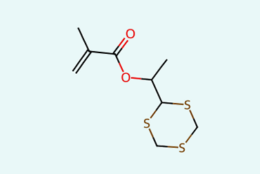 C=C(C)C(=O)OC(C)C1SCSCS1